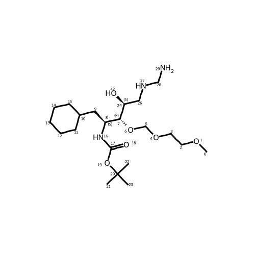 COCCOCO[C@H]([C@H](CC1CCCCC1)NC(=O)OC(C)(C)C)[C@@H](O)CNCN